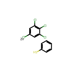 Clc1cc(Cl)c(Cl)c(Cl)c1.Sc1ccccc1.[Zn]